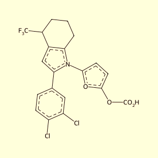 O=C(O)Oc1ccc(-n2c(-c3ccc(Cl)c(Cl)c3)cc3c2CCCC3C(F)(F)F)o1